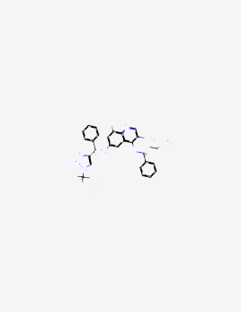 N#CCC[C@@H](Nc1c(C#N)cnc2c(Cl)cc(N[C@H](C3=CN(C(F)(F)C(=O)O)NN3)c3ccccc3)cc12)c1ccccc1